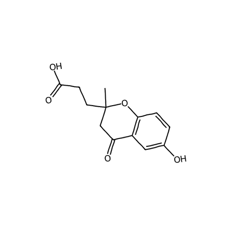 CC1(CCC(=O)O)CC(=O)c2cc(O)ccc2O1